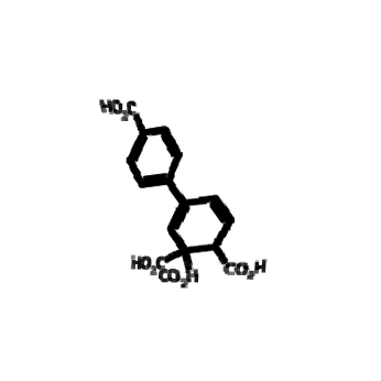 O=C(O)c1ccc(C2=CC(C(=O)O)(C(=O)O)C(C(=O)O)C=C2)cc1